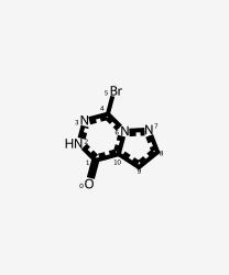 O=c1[nH]nc(Br)n2nccc12